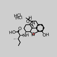 CC[C@H](C)[C@H](N[C@H]1CC[C@@]2(OC)[C@H]3Cc4ccc(O)c5c4[C@@]2(CCN3C)[C@H]1O5)C(=O)O.Cl.Cl